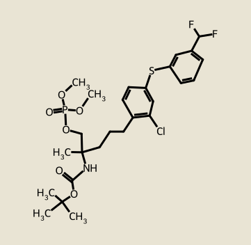 COP(=O)(OC)OCC(C)(CCCc1ccc(Sc2cccc(C(F)F)c2)cc1Cl)NC(=O)OC(C)(C)C